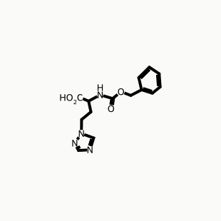 O=C(NC(CCn1cncn1)C(=O)O)OCc1ccccc1